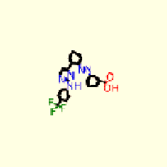 O=C(O)c1cccc(/N=N/c2ccccc2-c2ccnc(Nc3ccc(C(F)(F)F)cc3)n2)c1